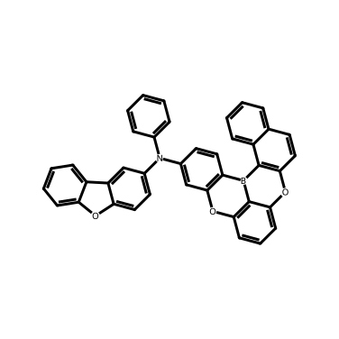 c1ccc(N(c2ccc3c(c2)Oc2cccc4c2B3c2c(ccc3ccccc23)O4)c2ccc3oc4ccccc4c3c2)cc1